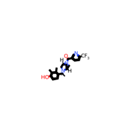 Cc1c(O)ccc([C@H](C)N2C[C@@H]3C[C@H]2CN3C(=O)c2ccc(C(F)(F)F)nc2)c1C